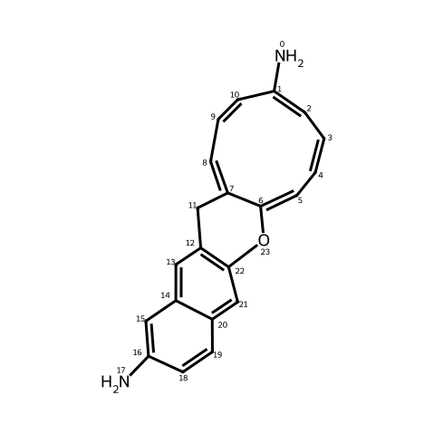 Nc1ccccc2c(ccc1)Cc1cc3cc(N)ccc3cc1O2